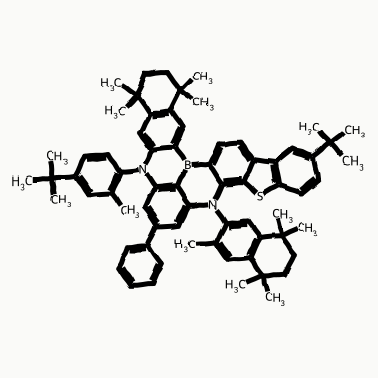 Cc1cc(C(C)(C)C)ccc1N1c2cc3c(cc2B2c4ccc5c(sc6ccc(C(C)(C)C)cc65)c4N(c4cc5c(cc4C)C(C)(C)CCC5(C)C)c4cc(-c5ccccc5)cc1c42)C(C)(C)CCC3(C)C